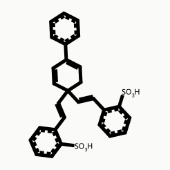 O=S(=O)(O)c1ccccc1C=CC1(C=Cc2ccccc2S(=O)(=O)O)C=CC(c2ccccc2)=CC1